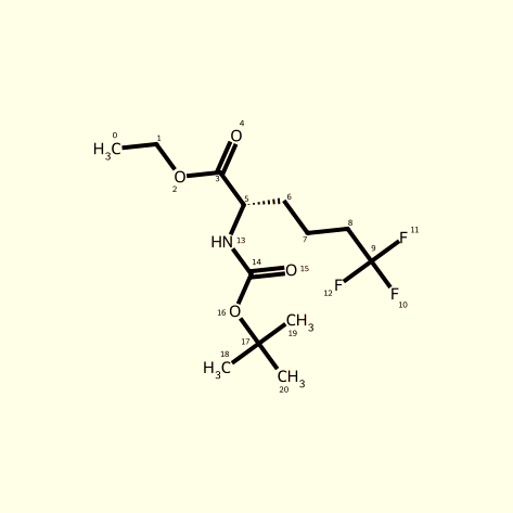 CCOC(=O)[C@H](CCCC(F)(F)F)NC(=O)OC(C)(C)C